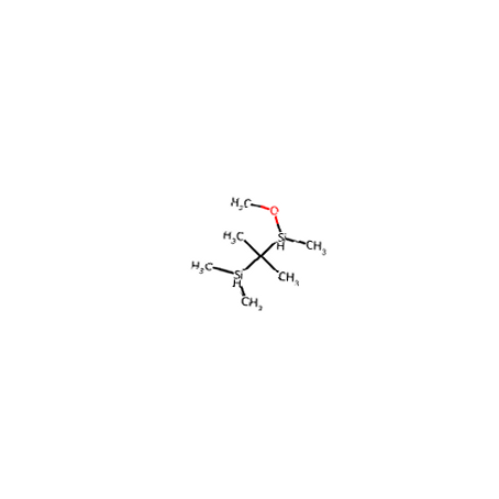 CO[SiH](C)C(C)(C)[SiH](C)C